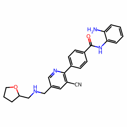 N#Cc1cc(CNCC2CCCO2)cnc1-c1ccc(C(=O)Nc2ccccc2N)cc1